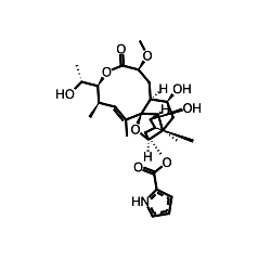 CO[C@H]1C[C@H]2[C@@H](O)C[C@]3(C)[C@H]4[C@H](O)[C@@H](C)[C@@H](OC(=O)c5ccc[nH]5)[C@@H]3O[C@]42/C(C)=C/[C@@H](C)[C@@H]([C@@H](C)O)OC1=O